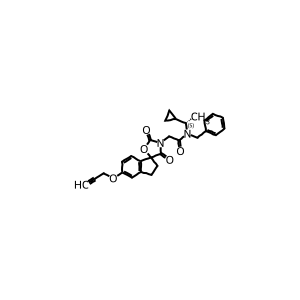 C#CCOc1ccc2c(c1)CCC21OC(=O)N(CC(=O)N(Cc2ccccc2)[C@@H](C)C2CC2)C1=O